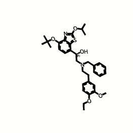 CCOc1ccc(CCN(Cc2ccccc2)C[C@H](O)c2ccc(OC(C)(C)C)c3nc(OC(C)C)sc23)cc1OC